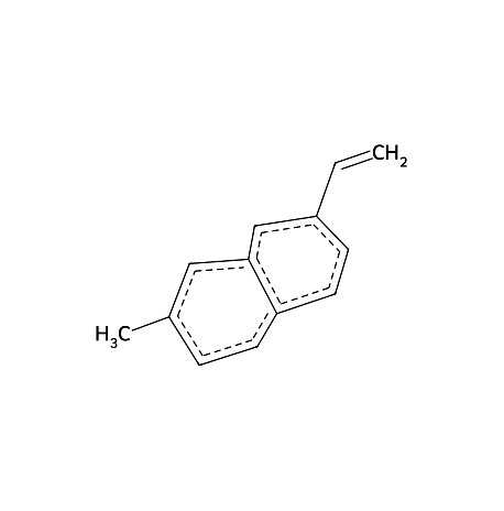 C=Cc1ccc2ccc(C)cc2c1